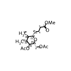 COC(=O)CCS[C@@H]1O[C@H](COC(C)=O)[C@H](OC(C)=O)[C@H](C)[C@H]1C